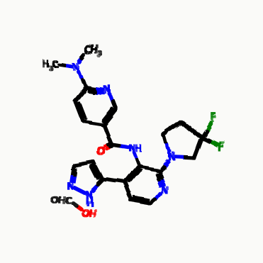 CN(C)c1ccc(C(=O)Nc2c(-c3ccn[nH]3)ccnc2N2CCC(F)(F)C2)cn1.O=CO